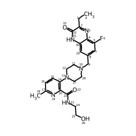 CCc1nc2c(F)cc(CN3CCN(c4ccc(C)nc4C(=O)NCCO)CC3)cc2[nH]c1=O